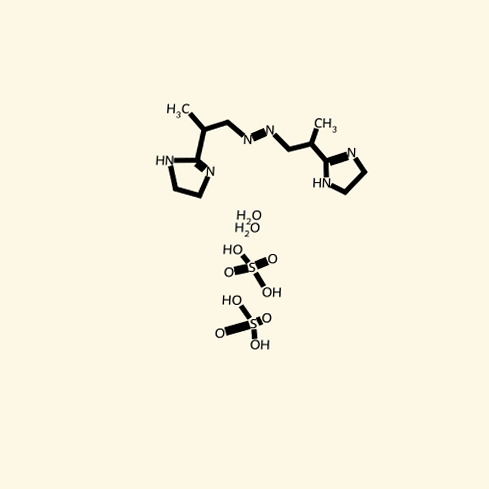 CC(CN=NCC(C)C1=NCCN1)C1=NCCN1.O.O.O=S(=O)(O)O.O=S(=O)(O)O